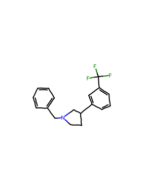 FC(F)(F)c1cccc(C2CCN(Cc3ccccc3)C2)c1